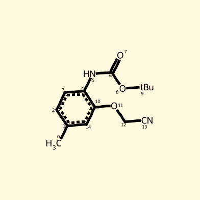 Cc1ccc(NC(=O)OC(C)(C)C)c(OCC#N)c1